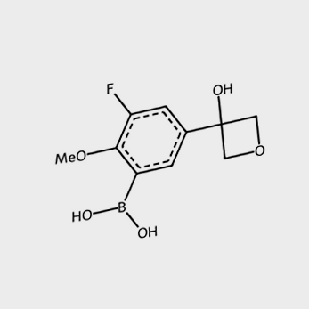 COc1c(F)cc(C2(O)COC2)cc1B(O)O